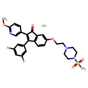 COc1ccc(C2=C(c3cc(F)cc(F)c3)c3ccc(OCCN4CCN(S(C)(=O)=O)CC4)cc3C2=O)cn1.Cl